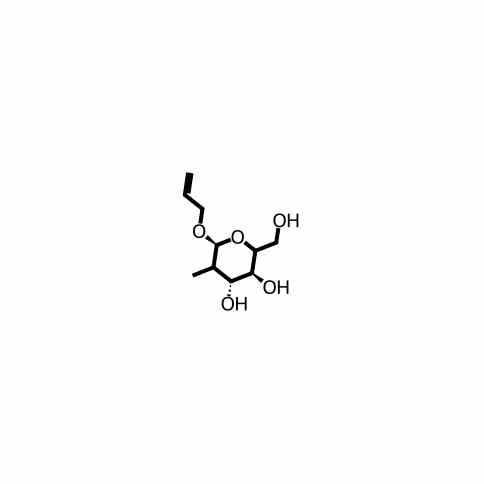 C=CCO[C@H]1OC(CO)[C@@H](O)[C@H](O)C1C